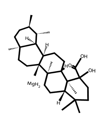 C[C@@H]1[C@H]2[C@H]3CC[C@@H]4[C@]5(C)[C@@H](CC[C@@]4(C)[C@]3(C)CC[C@@]2(C)CC[C@H]1C)C(C)(C)CCC5(O)C(=O)O.[MgH2]